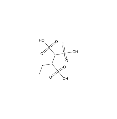 CCC([C](S(=O)(=O)O)S(=O)(=O)O)S(=O)(=O)O